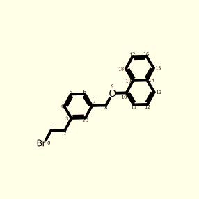 BrCCc1cccc(COc2cccc3ccccc23)c1